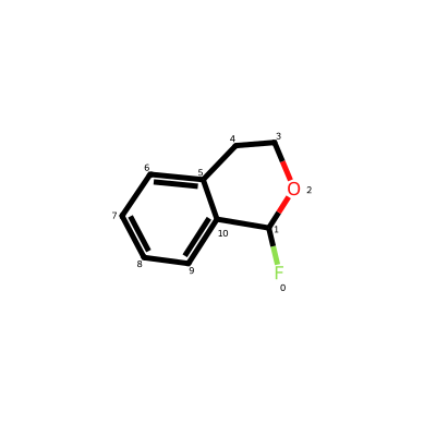 FC1OCCc2ccccc21